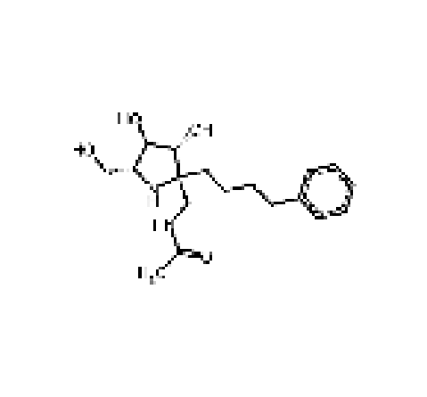 CC(=O)NC[C@@]1(CCCCc2ccccc2)N[C@H](CO)[C@@H](O)[C@@H]1O